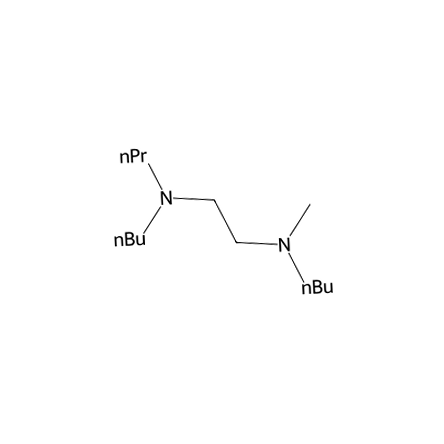 CCCCN(C)CCN(CCC)CCCC